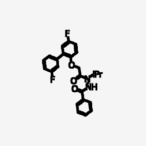 CC(C)N(NC(=O)c1ccccc1)C(=O)COc1ccc(F)cc1-c1cccc(F)c1